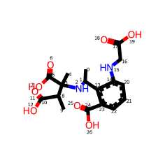 CC(NC(C)(C(=O)O)C(C)C(=O)O)c1c(NCC(=O)O)cccc1C(=O)O